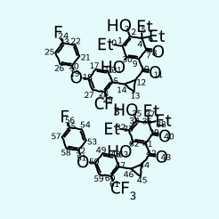 CCC1=C(O)C(CC)(CC)C(=O)C(C(=O)C2CC2c2ccc(Oc3ccc(F)cc3)cc2C(F)(F)F)=C1O.CCC1=C(O)C(CC)(CC)C(=O)C(C(=O)C2CC2c2ccc(Oc3ccc(F)cc3)cc2C(F)(F)F)=C1O